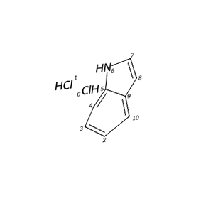 Cl.Cl.c1ccc2[nH]ccc2c1